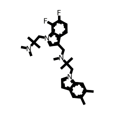 Cc1cc2ccn(CC(C)(C)N(C)Cc3cn(CC(C)(C)N(C)C)c4c(F)c(F)ccc34)c2cc1C